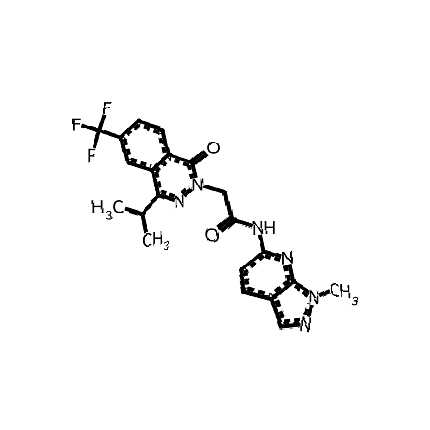 CC(C)c1nn(CC(=O)Nc2ccc3cnn(C)c3n2)c(=O)c2ccc(C(F)(F)F)cc12